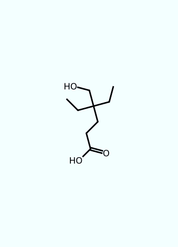 CCC(CC)(CO)CCC(=O)O